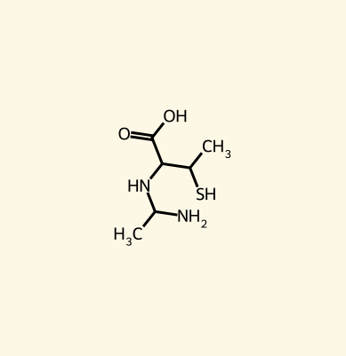 CC(N)NC(C(=O)O)C(C)S